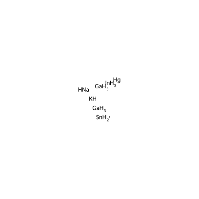 [GaH3].[GaH3].[Hg].[InH3].[KH].[NaH].[SnH2]